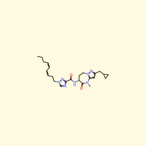 CCC/C=C\C=C/CCn1cnc(C(=O)N[C@H]2CCn3nc(CC4CC4)cc3N(C)C2=O)n1